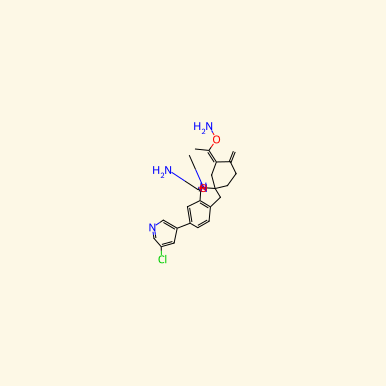 C=C1CCC2(C/C1=C(\C)ON)Cc1ccc(-c3cncc(Cl)c3)cc1C21N=C(N)N(C)O1